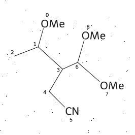 COC(C)C(CC#N)C(OC)OC